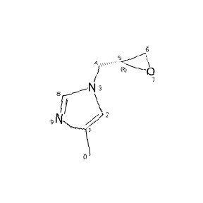 Cc1cn(C[C@@H]2CO2)cn1